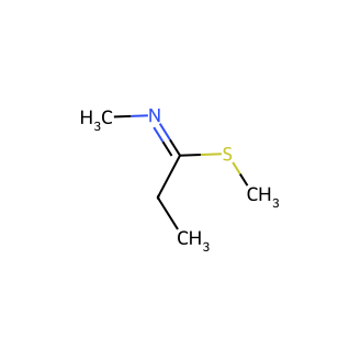 CC/C(=N\C)SC